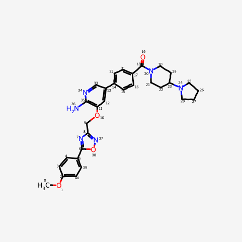 COc1ccc(-c2nc(COc3cc(-c4ccc(C(=O)N5CCC(N6CCCC6)CC5)cc4)cnc3N)no2)cc1